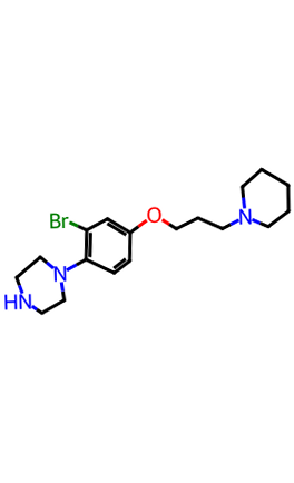 Brc1cc(OCCCN2CCCCC2)ccc1N1CCNCC1